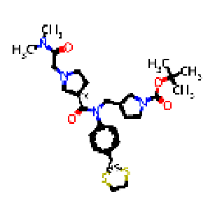 CN(C)C(=O)CN1CC[C@@H](C(=O)N(CC2CCN(C(=O)OC(C)(C)C)C2)c2ccc([As]3SCCS3)cc2)C1